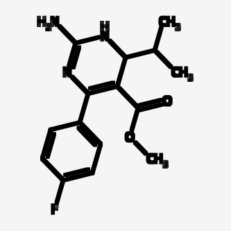 COC(=O)C1=C(c2ccc(F)cc2)N=C(N)NC1C(C)C